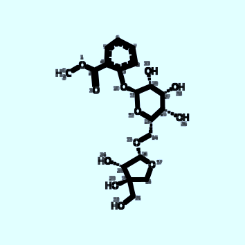 COC(=O)c1ccccc1O[C@@H]1O[C@@H](CO[C@@H]2OC[C@](O)(CO)[C@@H]2O)[C@@H](O)[C@@H](O)[C@H]1O